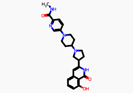 CNC(=O)c1ccc(N2CCC(N3CCC(c4cc5cccc(O)c5c(=O)[nH]4)C3)CC2)cn1